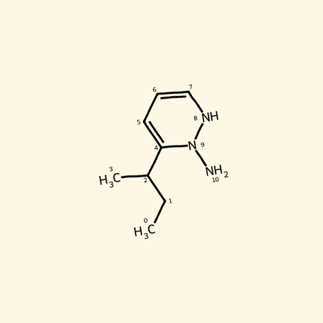 CCC(C)C1=CC=CNN1N